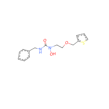 O=C(NCc1ccccc1)N(O)CCOCc1cccs1